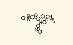 CC1(C)c2ccccc2-c2c(N(c3ccc4oc5ccccc5c4c3)c3ccc4oc5cc6oc(-c7ccccc7)nc6cc5c4c3)cccc21